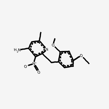 COc1ccc(Cc2nc(C)cc(N)c2[N+](=O)[O-])c(OC)c1